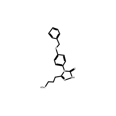 CCCCCCCCCCCCCc1n[nH]c(=S)n1-c1ccc(OCc2ccccc2)cc1